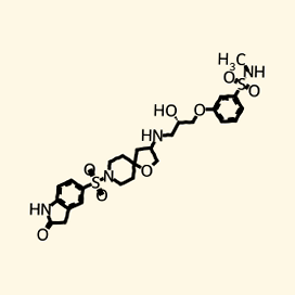 CNS(=O)(=O)c1cccc(OC[C@@H](O)CNC2COC3(CCN(S(=O)(=O)c4ccc5c(c4)CC(=O)N5)CC3)C2)c1